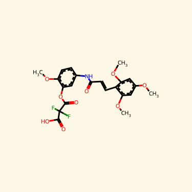 COc1cc(OC)c(C=CC(=O)Nc2ccc(OC)c(OC(=O)C(F)(F)C(=O)O)c2)c(OC)c1